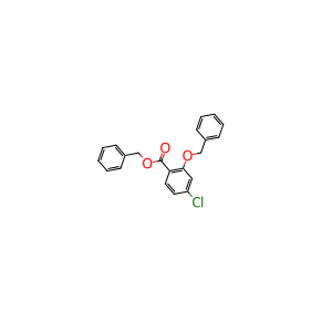 O=C(OCc1ccccc1)c1ccc(Cl)cc1OCc1ccccc1